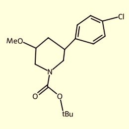 COC1CC(c2ccc(Cl)cc2)CN(C(=O)OC(C)(C)C)C1